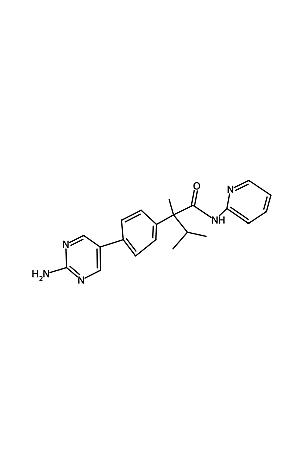 CC(C)C(C)(C(=O)Nc1ccccn1)c1ccc(-c2cnc(N)nc2)cc1